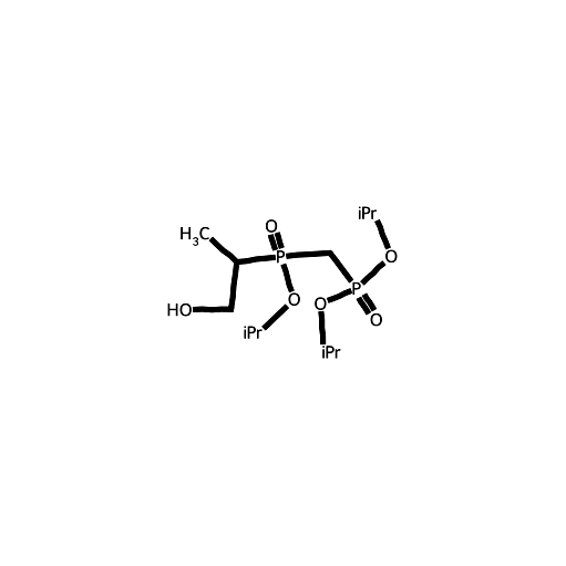 CC(C)OP(=O)(CP(=O)(OC(C)C)C(C)CO)OC(C)C